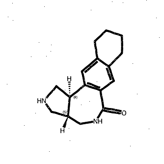 O=C1NC[C@@H]2CNC[C@H]2c2cc3c(cc21)CCCC3